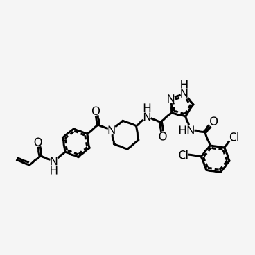 C=CC(=O)Nc1ccc(C(=O)N2CCCC(NC(=O)c3n[nH]cc3NC(=O)c3c(Cl)cccc3Cl)C2)cc1